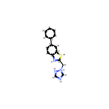 c1ccc(-c2ccc3nc(Cn4cncn4)sc3c2)cc1